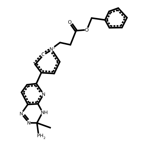 CC1(P)N=Nc2ccc(-c3cc[n+](CCC(=O)OCc4ccccc4)cc3)nc2N1